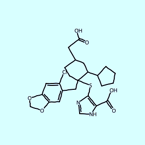 O=C(O)CC1CCC(Cc2cc3c(cc2Cl)OCO3)(Sc2nc[nH]c2C(=O)O)C(C2CCCC2)C1